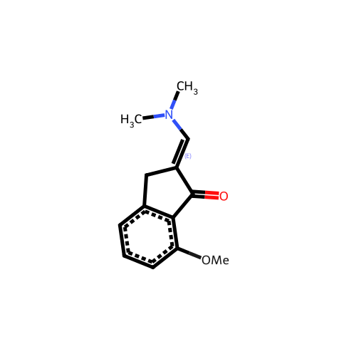 COc1cccc2c1C(=O)/C(=C/N(C)C)C2